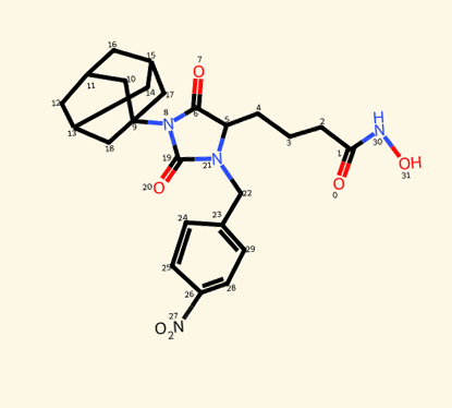 O=C(CCCC1C(=O)N(C23CC4CC(CC(C4)C2)C3)C(=O)N1Cc1ccc([N+](=O)[O-])cc1)NO